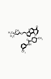 C[C@@H]1CCN(C(=O)Nc2cccc(C(F)(F)F)c2)C[C@@H]1n1ccc(=O)c2cnc3c(ccn3COCC[Si](C)(C)C)c21